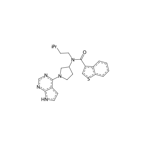 CC(C)CCN(C(=O)c1csc2ccccc12)C1CCN(c2ncnc3[nH]ccc23)C1